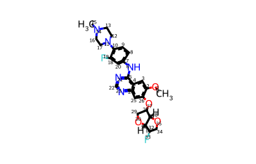 COc1cc2c(Nc3ccc(N4CCN(C)CC4)c(F)c3)ncnc2cc1OC1CO[C@H]2[C@H](F)CO[C@@H]12